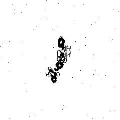 O=C(NC1CCCC1)NS(=O)(=O)c1ccc(CCn2c(=O)[nH]c3ccccc3c2=O)cc1